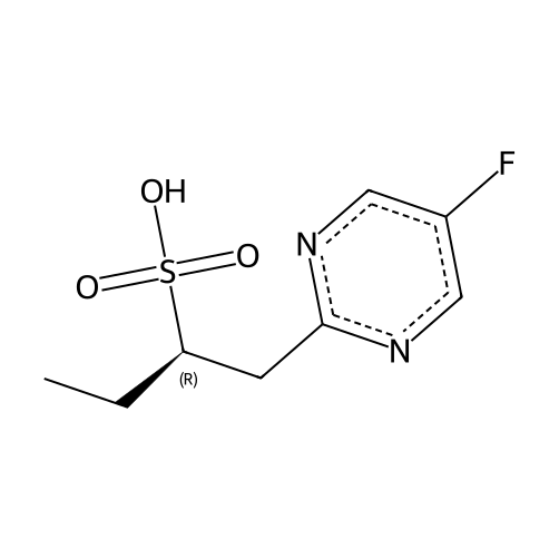 CC[C@H](Cc1ncc(F)cn1)S(=O)(=O)O